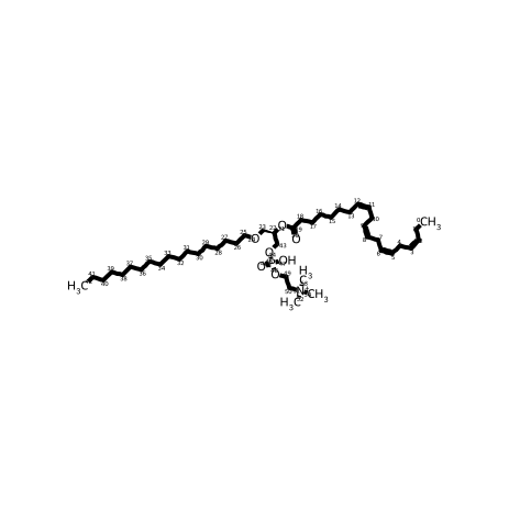 CC/C=C\C/C=C\C/C=C\C/C=C\CCCCCCC(=O)O[C@H](COCCCCCCCCCCCCCCCCCC)COP(=O)(O)OCC[N+](C)(C)C